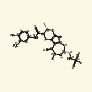 C[C@@H]1Cc2nn3c(c2CN1C(=O)Nc1ccc(F)c(C(F)(F)F)c1)C(=O)N(C)O[C@@H](CNS(C)(=O)=O)C3